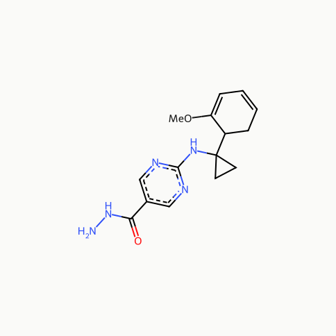 COC1=CC=CCC1C1(Nc2ncc(C(=O)NN)cn2)CC1